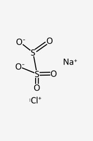 O=S([O-])S(=O)(=O)[O-].[Cl+].[Na+]